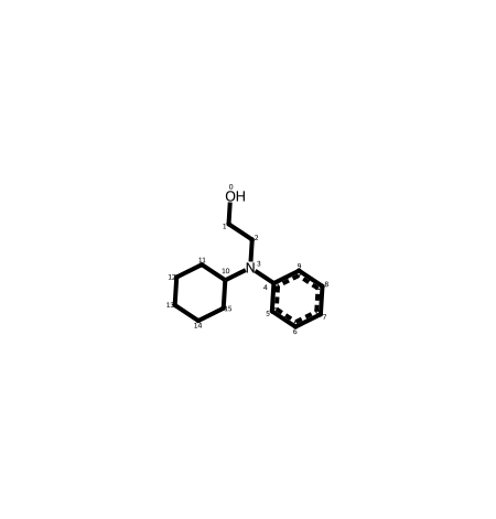 OCCN(c1ccccc1)C1CCCCC1